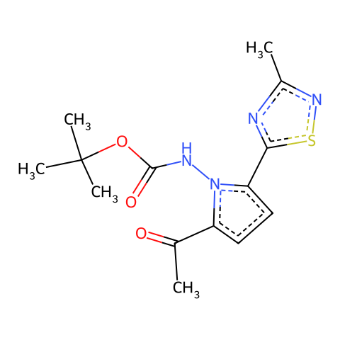 CC(=O)c1ccc(-c2nc(C)ns2)n1NC(=O)OC(C)(C)C